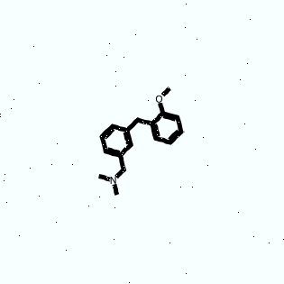 COc1c[c]ccc1Cc1cccc(CN(C)C)c1